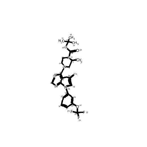 CC1CN(c2ncnc3c2c(I)cn3-c2cccc(OC(F)(F)F)c2)CCN1C(=O)OC(C)(C)C